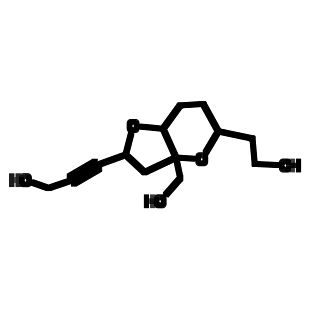 OCC#CC1CC2(CO)OC(CCO)CCC2O1